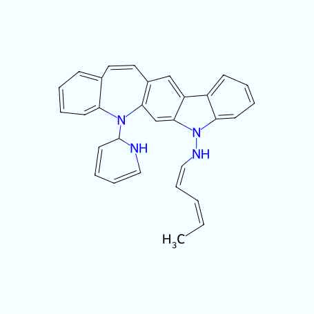 C/C=C\C=C/Nn1c2ccccc2c2cc3c(cc21)N(C1C=CC=CN1)c1ccccc1C=C3